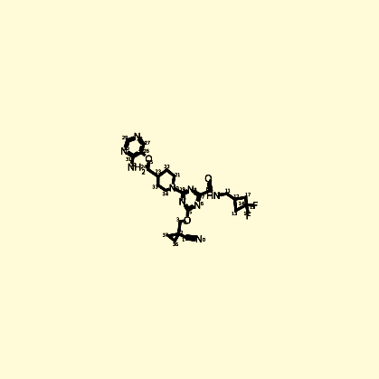 N#CC1(COc2nc(C(=O)NCC3CC(F)(F)C3)nc(N3CCC(COc4cncnc4N)CC3)n2)CC1